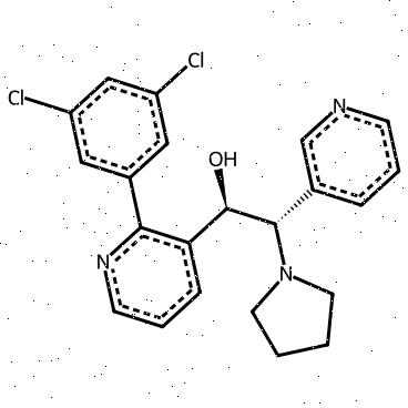 O[C@H](c1cccnc1-c1cc(Cl)cc(Cl)c1)[C@H](c1cccnc1)N1CCCC1